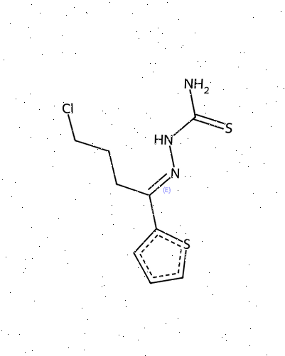 NC(=S)N/N=C(\CCCCl)c1cccs1